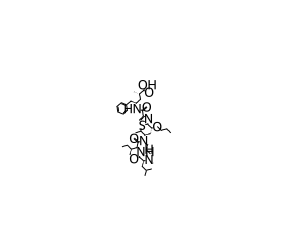 CCCO[C@H](C[C@H](C(C)C)N(CCC)C(=O)[C@@H](NC(=O)[C@H](CC(C)C)NC)[C@@H](C)CC)c1nc(C(=O)N[C@@H](Cc2ccccc2)C[C@H](C)C(=O)O)cs1